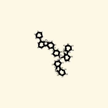 c1ccc(-c2cccc3c2oc2ccc(-c4ccc(N(c5ccc6sc7ccccc7c6c5)c5cccc6c5sc5ccccc56)cc4)cc23)cc1